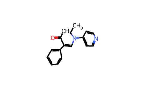 CCN(/C=C(\C(C)=O)c1ccccc1)c1ccncc1